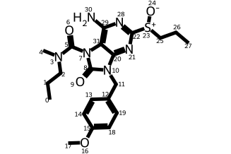 CCCN(C)C(=O)n1c(=O)n(Cc2ccc(OC)cc2)c2nc([S+]([O-])CCC)nc(N)c21